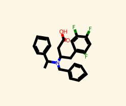 CC(c1ccccc1)N(Cc1ccccc1)C(CC(=O)O)Cc1cc(F)c(F)cc1F